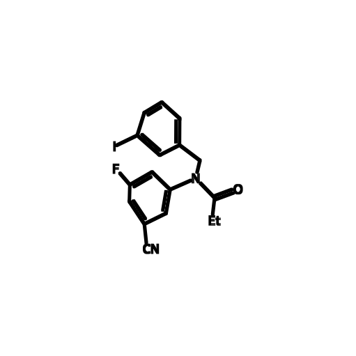 CCC(=O)N(Cc1cccc(I)c1)c1cc(F)cc(C#N)c1